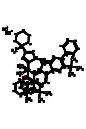 Cl.Cl.[CH2]=[Zr]([CH3])([C]1=CC(C2(C)CCCCC2)=CC1C)([c]1ccc(C)cc1)[c]1c2c(cc(C(C)(C)C)c1-c1ccccc1)-c1cc(C(C)(C)C)c(-c3ccccc3)cc1C2